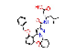 COc1cccc(OCc2ccccc2)c1-c1cc(C(=O)N[C@H](CC(=O)O)CC(C)C)nn1C1CCCCC1